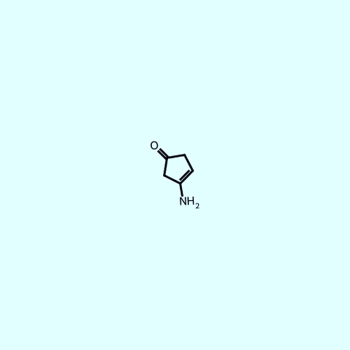 NC1=CCC(=O)C1